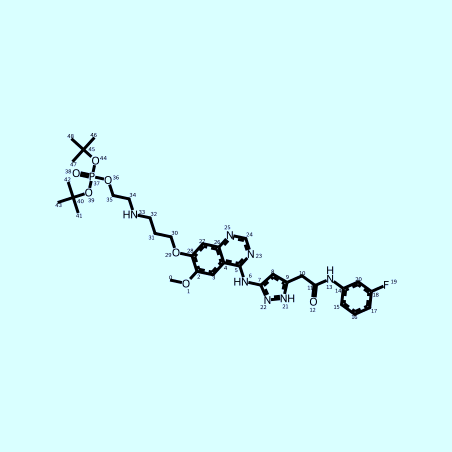 COc1cc2c(Nc3cc(CC(=O)Nc4cccc(F)c4)[nH]n3)ncnc2cc1OCCCNCCOP(=O)(OC(C)(C)C)OC(C)(C)C